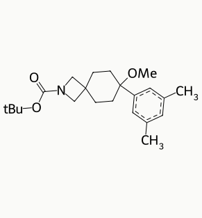 COC1(c2cc(C)cc(C)c2)CCC2(CC1)CN(C(=O)OC(C)(C)C)C2